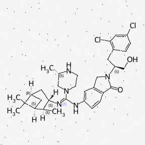 C[C@@H]1[C@@H](/N=C(/Nc2ccc3c(c2)CN([C@H](CO)Cc2ccc(Cl)cc2Cl)C3=O)N2CCN[C@@H](C)C2)C[C@H]2C[C@@H]1C2(C)C